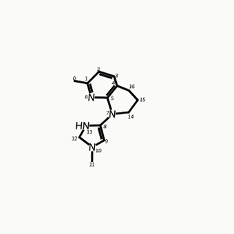 Cc1ccc2c(n1)N(C1=CN(C)CN1)CCC2